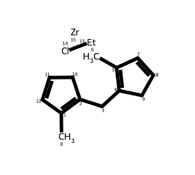 CC1=C(CC2=C(C)C=CC2)CC=C1.CCCl.[Zr]